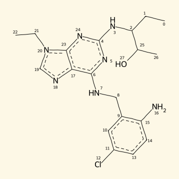 CCC(Nc1nc(NCc2cc(Cl)ccc2N)c2ncn(CC)c2n1)C(C)O